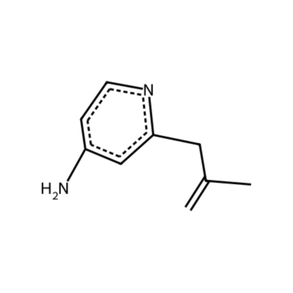 C=C(C)Cc1cc(N)ccn1